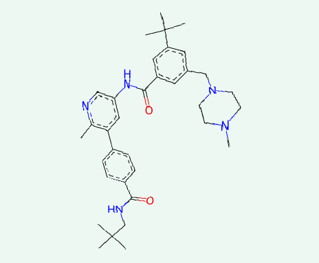 Cc1ncc(NC(=O)c2cc(CN3CCN(C)CC3)cc(C(C)(C)C)c2)cc1-c1ccc(C(=O)NCC(C)(C)C)cc1